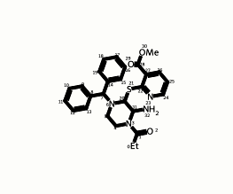 CCC(=O)N1CCN(C(c2ccccc2)c2ccccc2)C(Sc2ncccc2C(=O)OC)C1N